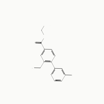 CCOC(=O)c1ccc(-c2cccc(F)c2)c(CBr)c1